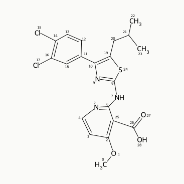 COc1ccnc(Nc2nc(-c3ccc(Cl)c(Cl)c3)c(CC(C)C)s2)c1C(=O)O